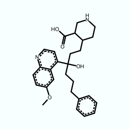 COc1ccc2nccc(C(O)(CCCc3ccccc3)CCC3CCNCC3C(=O)O)c2c1